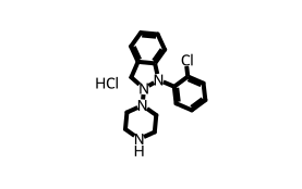 Cl.Clc1ccccc1N1c2ccccc2CN1N1CCNCC1